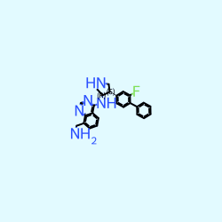 NCc1cccc2c(N[C@H]3CNC[C@@H]3c3ccc(-c4ccccc4)c(F)c3)ncnc12